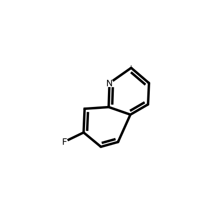 Fc1ccc2cc[c]nc2c1